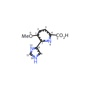 COc1ccc(C(=O)O)nc1-c1c[nH]cn1